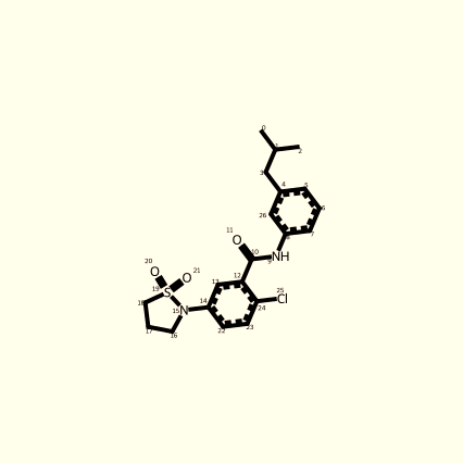 CC(C)Cc1cccc(NC(=O)c2cc(N3CCCS3(=O)=O)ccc2Cl)c1